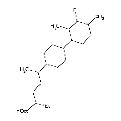 CCCCCCCCC(CC)CCC(C)C1CCC(C2CCC(C)C(F)C2C)CC1